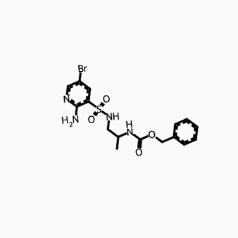 CC(CNS(=O)(=O)c1cc(Br)cnc1N)NC(=O)OCc1ccccc1